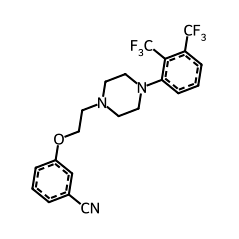 N#Cc1cccc(OCCN2CCN(c3cccc(C(F)(F)F)c3C(F)(F)F)CC2)c1